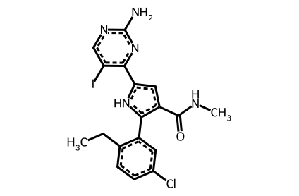 CCc1ccc(Cl)cc1-c1[nH]c(-c2nc(N)ncc2I)cc1C(=O)NC